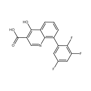 O=C(O)c1cnc2c(-c3cc(F)cc(F)c3F)cccc2c1O